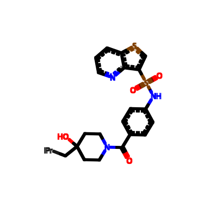 CC(C)CC1(O)CCN(C(=O)c2ccc(NS(=O)(=O)c3csc4cccnc34)cc2)CC1